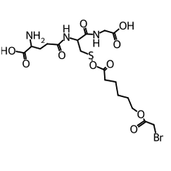 NC(CCC(=O)NC(CSOC(=O)CCCCCOC(=O)CBr)C(=O)NCC(=O)O)C(=O)O